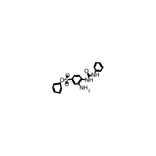 Nc1cc(S(=O)(=O)Oc2ccccc2)ccc1NC(=O)Nc1ccccc1